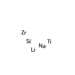 [Li].[Na].[Si].[Ti].[Zr]